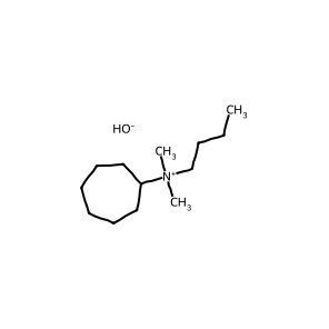 CCCC[N+](C)(C)C1CCCCCC1.[OH-]